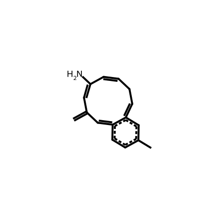 C=C1/C=c2/ccc(C)c/c2=C/C/C=C\C(N)=C/1